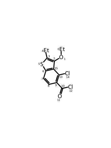 CCOc1c(CC)sc2ccc(C(=O)Cl)c(Cl)c12